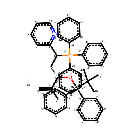 C=C(C)[C@H](CC(c1ccccn1)[P+](c1ccccc1)(c1ccccc1)c1ccccc1)O[Si](c1ccccc1)(c1ccccc1)C(C)(C)C.[I-]